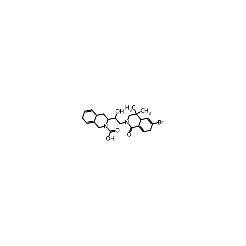 CC1(C)CN(CC(O)C2CC3C=CCC=C3CN2C(=O)O)C(=O)C2=CCC(Br)=CC21